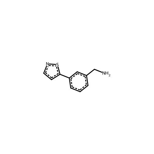 NCc1cccc(-c2ccns2)c1